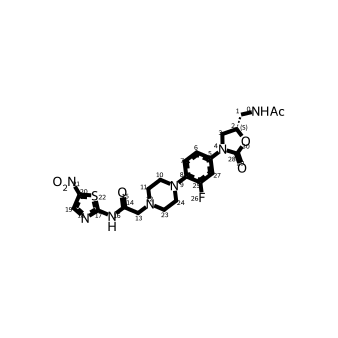 CC(=O)NC[C@H]1CN(c2ccc(N3CCN(CC(=O)Nc4ncc([N+](=O)[O-])s4)CC3)c(F)c2)C(=O)O1